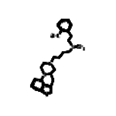 CN(CCCCN1CCN2c3cccc4scc(c34)CC2C1)CCc1ccccc1C=O